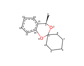 [CH2][C@H]1OC2(CCCCC2)Oc2ccccc21